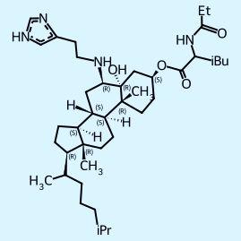 CCC(=O)NC(C(=O)O[C@H]1CC[C@]2(C)[C@H]3CC[C@]4(C)[C@@H](C(C)CCCC(C)C)CC[C@H]4[C@@H]3C[C@@H](NCCc3c[nH]cn3)[C@@]2(O)C1)C(C)CC